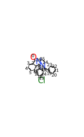 O=C1C2=CC=CCC2C2(c3ccc(Cl)cc3)N(Cc3ccccc3)CCN12